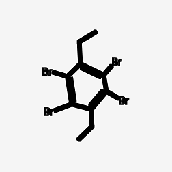 CCc1c(Br)c(Br)c(CC)c(Br)c1Br